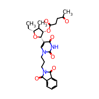 CC[C@H]1O[C@@H](c2cn(CCCN3C(=O)c4ccccc4C3=O)c(=O)[nH]c2=O)[C@@H](OC(=O)CCC(C)=O)C1C